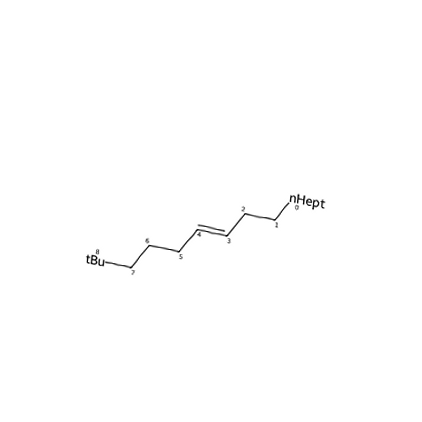 CCCCCCCCC/C=C/CCCC(C)(C)C